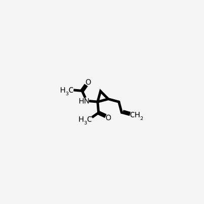 C=CCC1CC1(NC(C)=O)C(C)=O